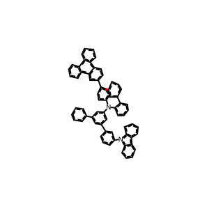 c1ccc(-c2cc(-c3cccc(-n4c5ccccc5c5ccccc54)c3)cc(N(c3ccc(-c4ccc5c6ccccc6c6ccccc6c5c4)cc3)c3ccccc3-c3ccccc3)c2)cc1